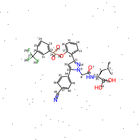 CC(C)C[C@H](NC(=O)Cn1nc(-c2ccccc2OS(=O)(=O)c2cccc(C(F)(F)F)c2)cc1-c1ccc(C#N)cc1)B(O)O